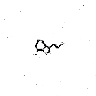 Cc1cccc2c(/C=C/C#N)csc12